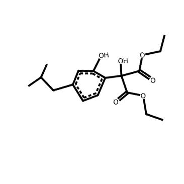 CCOC(=O)C(O)(C(=O)OCC)c1ccc(CC(C)C)cc1O